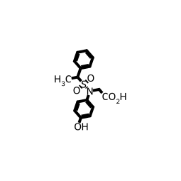 CC(c1ccccc1)S(=O)(=O)N(CC(=O)O)c1ccc(O)cc1